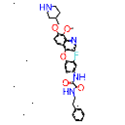 COc1c(OCC2CCNCC2)ccc2c(Oc3ccc(NC(=O)C(=O)NCCc4ccccc4)cc3F)ccnc12